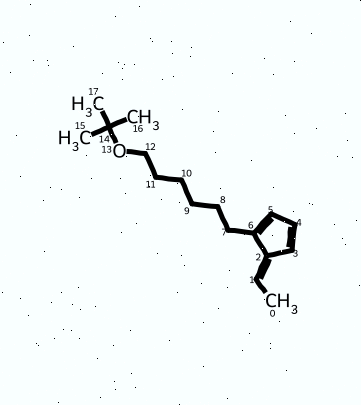 CC=C1C=CC=C1CCCCCCOC(C)(C)C